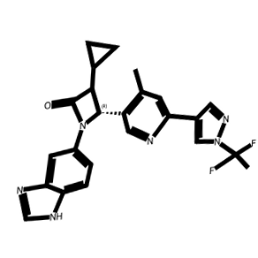 Cc1cc(-c2cnn(C(C)(F)F)c2)ncc1[C@H]1C(C2CC2)C(=O)N1c1ccc2[nH]cnc2c1